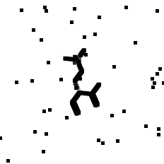 C=C[C@H](CCN(C)C)C(=C)C